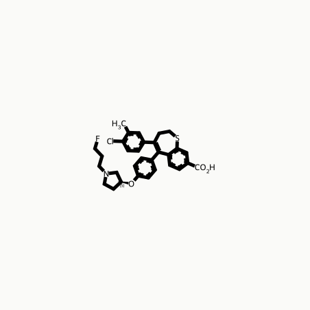 Cc1cc(C2=C(c3ccc(O[C@H]4CCN(CCCF)C4)cc3)c3ccc(C(=O)O)cc3SCC2)ccc1Cl